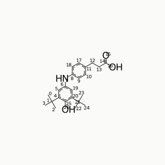 CC(C)(C)c1cc(Nc2ccc(CCC(=O)O)cc2)cc(C(C)(C)C)c1O